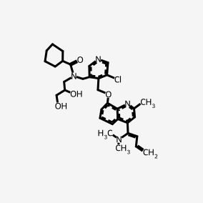 C=C/C=C(/c1cc(C)nc2c(OCc3c(Cl)cncc3CN(CC(O)CO)C(=O)C3CCCCC3)cccc12)N(C)C